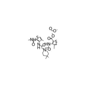 CNC(=O)c1scc(C)c1NC(=O)C[N+]1(CC(=O)Nc2c(C)csc2C(=O)OC)CCC(C)(C)CC1.O=C[O-]